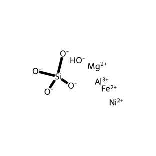 [Al+3].[Fe+2].[Mg+2].[Ni+2].[O-][Si]([O-])([O-])[O-].[OH-]